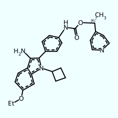 CCOc1ccc2c(N)c(-c3ccc(NC(=O)O[C@H](C)c4ccncc4)cc3)n(C3CCC3)c2c1